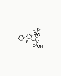 O=C(O)N1CC[C@H](NS(=O)(=O)C2CC2)[C@@H]1Cc1cccc(-c2ccccc2)c1F